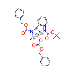 C[C@@H]1[C@@H](OC(=O)OCc2ccccc2)[C@@H](NC(=O)OC(C)(C)C)[C@](C)(c2ccccc2)N1C(=O)OCc1ccccc1